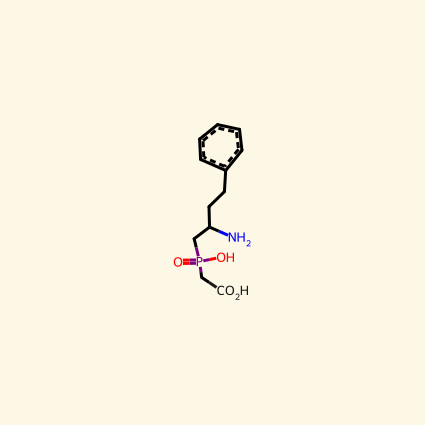 NC(CCc1ccccc1)CP(=O)(O)CC(=O)O